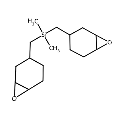 C[Si](C)(CC1CCC2OC2C1)CC1CCC2OC2C1